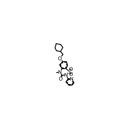 CN1C(=O)N(c2ccccn2)S(=O)(=O)c2ccc(OCC3CCCCC3)cc21